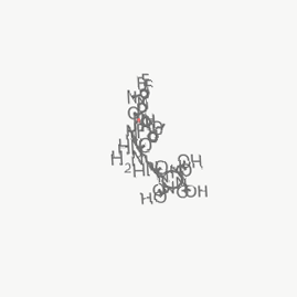 CCOc1ccccc1-c1ncc(C2(C(=O)NCCN(C)CCNC(=O)[C@H](N)CCCNC(=O)CN3CCN(CC(=O)O)CCN(CC(=O)O)CCN(CC(=O)O)CC3)CCN(c3ccc(C(F)(F)F)cc3C#N)CC2)cc1F